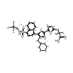 C[C@H](NS(=O)(=O)c1ccc(-c2sc(-c3nnc(CC(C)(C)C(=O)O)o3)nc2CC2CCCCC2)c2ccccc12)C(F)(F)F